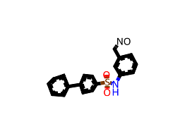 O=NCc1cccc(NS(=O)(=O)c2ccc(-c3ccccc3)cc2)c1